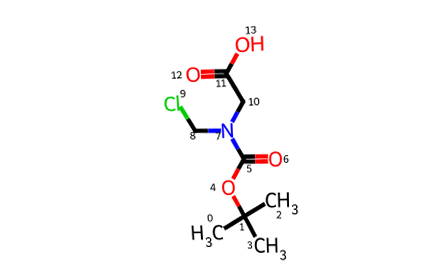 CC(C)(C)OC(=O)N(CCl)CC(=O)O